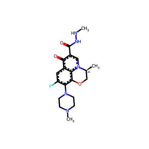 CNNC(=O)c1cn2c3c(c(N4CCN(C)CC4)c(F)cc3c1=O)OC[C@@H]2C